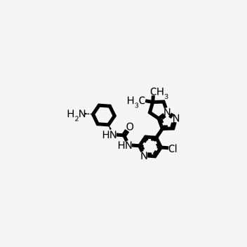 CC1(C)Cc2c(-c3cc(NC(=O)N[C@H]4CCC[C@@H](N)C4)ncc3Cl)cnn2C1